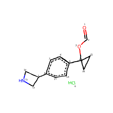 Cl.O=COC1(c2ccc(C3CNC3)cc2)CC1